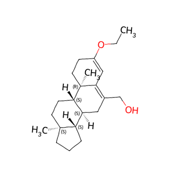 CCOC1=CC2=C(CO)C[C@H]3[C@@H]4CCC[C@@]4(C)CC[C@@H]3[C@@]2(C)CC1